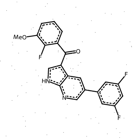 COc1cccc(C(=O)c2c[nH]c3ncc(-c4cc(F)cc(F)c4)cc23)c1F